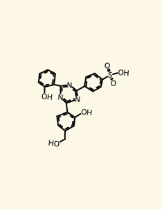 O=S(=O)(O)c1ccc(-c2nc(-c3ccccc3O)nc(-c3ccc(CO)cc3O)n2)cc1